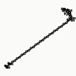 C[C@]12CC[C@H](O[C@H]3OC[C@H](CC(=O)CCOCCOCCOCCOCCOCCOCCOCCOCCOCCOCCOCCOCCOCCOCCOCCOCCOCCOCCOCCOCCOCCOCCOCCOCCNC(=O)CCN4C(=O)C=CC4=O)[C@H](O)C3O)C=C1CCC1C2CC[C@]2(C)[C@@H](c3ccc(=O)oc3)CC[C@]12O